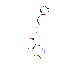 CC1=C(C(=O)OC/C=C/c2ccco2)CNC(=S)N1